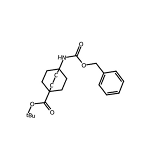 CC(C)(C)OC(=O)C12CCC(NC(=O)OCc3ccccc3)(CC1)CC2